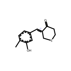 Cc1ccc(/C=C2\CSCCC2=O)cc1O